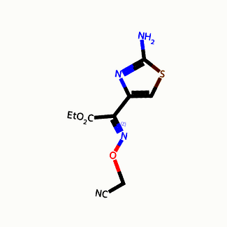 CCOC(=O)/C(=N\OCC#N)c1csc(N)n1